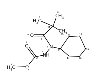 COC(=O)NN(C(=O)C(C)(C)C)C1CCCCC1